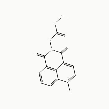 NNC(=O)NN1C(=O)c2cccc3c(Br)ccc(c23)C1=O